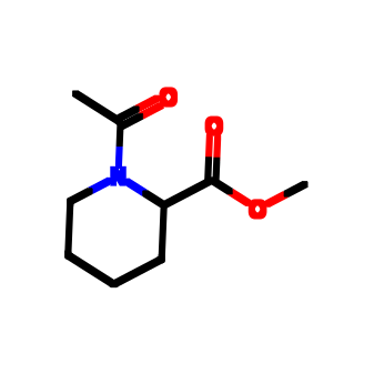 COC(=O)C1CCCCN1C(C)=O